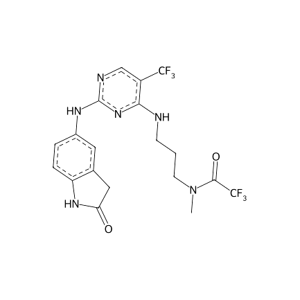 CN(CCCNc1nc(Nc2ccc3c(c2)CC(=O)N3)ncc1C(F)(F)F)C(=O)C(F)(F)F